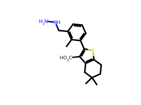 Cc1c(CNN)cccc1-c1sc2c(c1C(=O)O)CC(C)(C)CC2